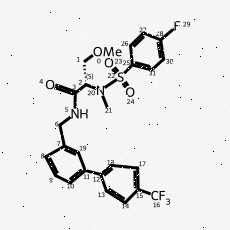 COC[C@@H](C(=O)NCc1cccc(-c2ccc(C(F)(F)F)cc2)c1)N(C)S(=O)(=O)c1ccc(F)cc1